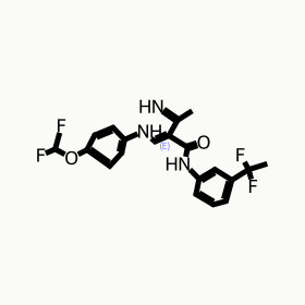 CC(=N)/C(=C\Nc1ccc(OC(F)F)cc1)C(=O)Nc1cccc(C(C)(F)F)c1